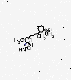 BN[C@@H]1CCCCC(C(=C)CCCCCN(C)/C(=C/C(=N)Cl)C(=N)Cl)C1